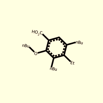 CCCCOc1c(C(=O)O)cc(CCCC)c(CC)c1CCCC